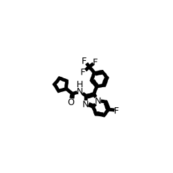 O=C(Nc1nc2ccc(F)cn2c1-c1cccc(C(F)(F)F)c1)C1CCCC1